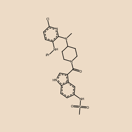 CC(C)Nc1ccc(Cl)nc1N(C)C1CCN(C(=O)c2c[nH]c3ccc(NS(C)(=O)=O)cc23)CC1